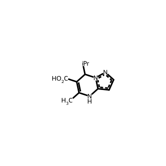 CC1=C(C(=O)O)C(C(C)C)n2nccc2N1